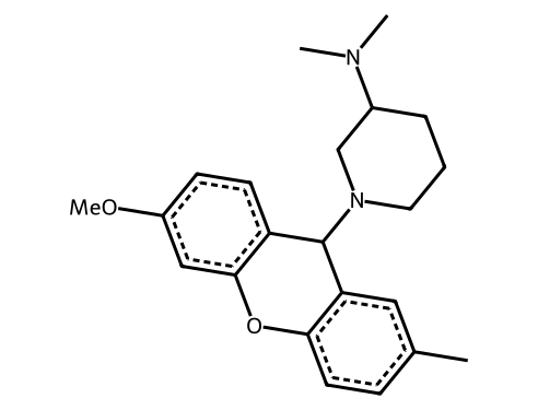 COc1ccc2c(c1)Oc1ccc(C)cc1C2N1CCCC(N(C)C)C1